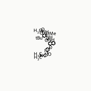 COc1c(NC(=O)Nc2ccc(Oc3ccnc(C(=O)N4CCC(N(C)C)C4)c3)c3ccccc23)cc(C(C)(C)C)cc1NS(C)(=O)=O